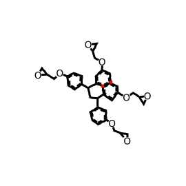 c1cc(OCC2CO2)cc(C(CC(c2cccc(OCC3CO3)c2)c2cccc(OCC3CO3)c2)c2ccc(OCC3CO3)cc2)c1